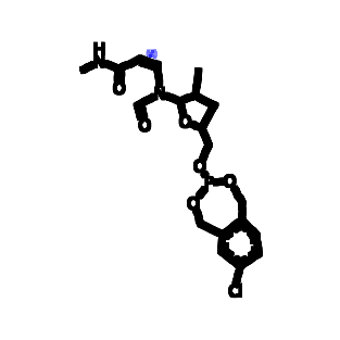 CNC(=O)/C=C\N(C=O)C1OC(COP2OCc3ccc(Cl)cc3CO2)CC1C